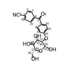 N#Cc1ccc(C(=O)c2ccc(O[C@@H]3[C@@H](O)[C@H](O)[C@@H](CO)O[C@@H]3O)cc2)cc1